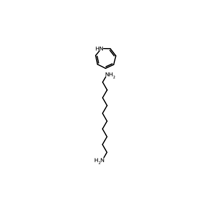 C1=CC=CNC=C1.NCCCCCCCCCCN